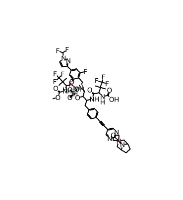 COC(=O)NC(C(=O)NN(Cc1c(F)cc(-c2ccn(C(F)F)n2)cc1F)CC(OP(=O)(O)O)C(Cc1ccc(C#Cc2cnc(N3CC4CCC(C3)N4C3COC3)nc2)cc1)NC(=O)C(NC(=O)O)C(C)(C)C(F)(F)F)C(C)(C)C(F)(F)F